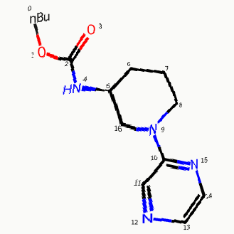 CCCCOC(=O)N[C@H]1CCCN(c2cnccn2)C1